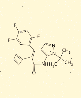 CC(C)(C)n1ncc2c(-c3cc(F)c(F)cc3F)c(C3=CC=C3)c(=O)[nH]c21